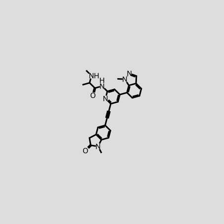 CNC(C)C(=O)Nc1cc(-c2cccc3cnn(C)c23)cc(C#Cc2ccc3c(c2)CC(=O)N3C)n1